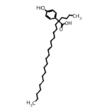 CCCCCCCCCCCCCCCCCCCC(CCCC)(C(=O)O)c1ccc(O)cc1